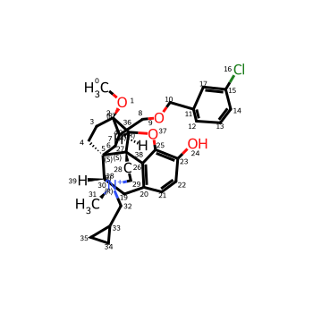 CO[C@]12CC[C@@]3(C[C@@H]1COCc1cccc(Cl)c1)[C@H]1Cc4ccc(O)c5c4[C@@]3(CC[N@+]1(C)CC1CC1)[C@H]2O5